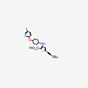 CC(C)(C)C#Cc1cc(NC2CCC(Oc3ccc(I)cn3)CC2)c(C(=O)O)s1